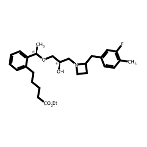 CCOC(=O)CCCCc1ccccc1[C@@H](C)OC[C@H](O)CN1CCC1Cc1ccc(C)c(F)c1